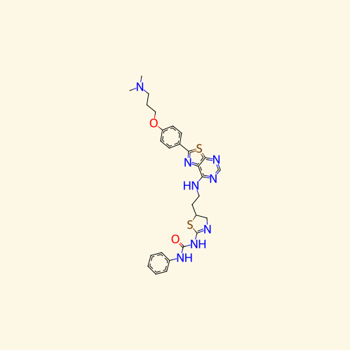 CN(C)CCCOc1ccc(-c2nc3c(NCCC4CN=C(NC(=O)Nc5ccccc5)S4)ncnc3s2)cc1